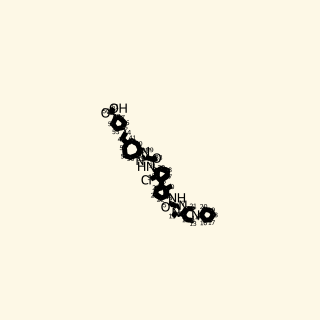 Cc1c(NC(=O)c2nc3c(n2C)CCN(C2CCCCC2)C3)cccc1-c1cccc(NC(=O)c2nc3c(n2C)CCC(CC[C@H]2CC[C@H](C(=O)O)CC2)CCC3)c1Cl